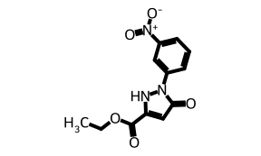 CCOC(=O)c1cc(=O)n(-c2cccc([N+](=O)[O-])c2)[nH]1